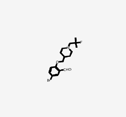 CC(C)(F)CN1CCC(COc2ccc(Br)cc2C=O)CC1